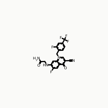 N#Cc1cn(Cc2ccc(C(F)(F)F)cc2F)c2cc(NCC(N)=O)c(F)cc2c1=O